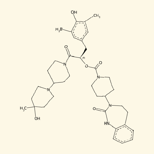 Bc1cc(C[C@@H](OC(=O)N2CCC(N3CCc4ccccc4NC3=O)CC2)C(=O)N2CCC(N3CCC(C)(O)CC3)CC2)cc(C)c1O